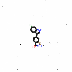 O=c1[nH]sc2cc(-c3c[nH]c4cc(F)ccc34)ccc12